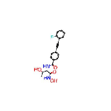 C[C@@H](O)[C@H](NC(=O)c1ccc(C#Cc2ccccc2F)cc1)C(=O)NO